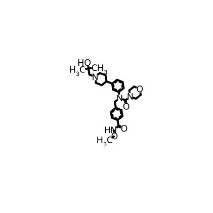 CONC(=O)c1ccc(CN(C(=O)N2CCOCC2)c2cccc(C3CCN(CC(C)(C)O)CC3)c2)cc1